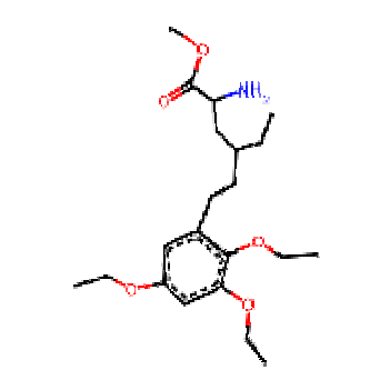 CCOc1cc(CCC(CC)CC(N)C(=O)OC)c(OCC)c(OCC)c1